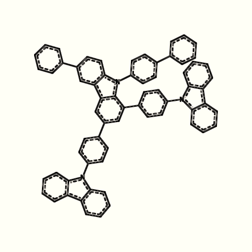 c1ccc(-c2ccc(-n3c4ccc(-c5ccccc5)cc4c4cc(-c5ccc(-n6c7ccccc7c7ccccc76)cc5)cc(-c5ccc(-n6c7ccccc7c7ccccc76)cc5)c43)cc2)cc1